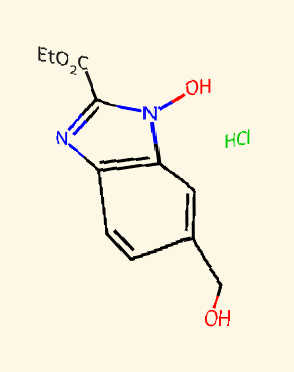 CCOC(=O)c1nc2ccc(CO)cc2n1O.Cl